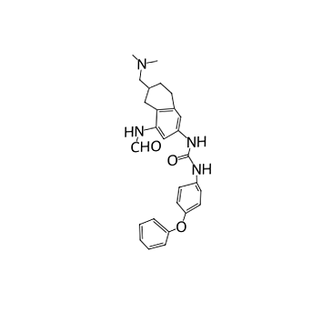 CN(C)CC1CCc2cc(NC(=O)Nc3ccc(Oc4ccccc4)cc3)cc(NC=O)c2C1